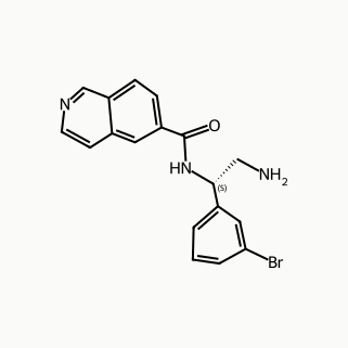 NC[C@@H](NC(=O)c1ccc2cnccc2c1)c1cccc(Br)c1